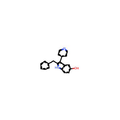 Oc1ccc2[nH]c(Cc3ccccc3)c(-c3ccncc3)c2c1